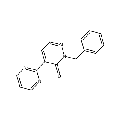 O=c1c(-c2ncccn2)ccnn1Cc1ccccc1